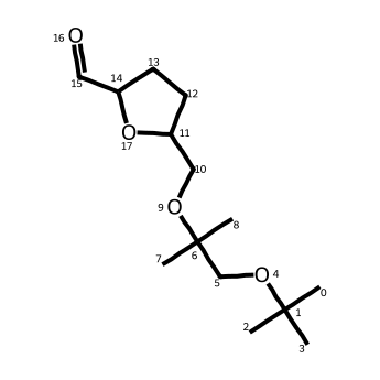 CC(C)(C)OCC(C)(C)OCC1CCC(C=O)O1